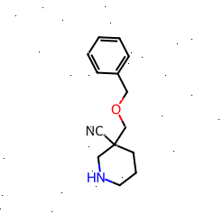 N#CC1(COCc2ccccc2)CCCNC1